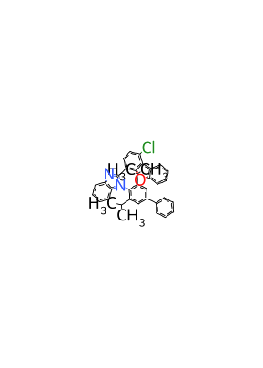 CC(C)c1cc(-c2ccccc2)cc(C(C)C)c1-n1c(-c2ccc(Cl)c3c2oc2ccccc23)nc2ccccc21